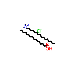 CCCCCCCCCCCCCCCC(=O)O.CCCCCCCCCCCCCCCC[N+](C)(C)C.[Cl-]